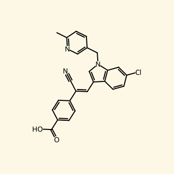 Cc1ccc(Cn2cc(/C=C(\C#N)c3ccc(C(=O)O)cc3)c3ccc(Cl)cc32)cn1